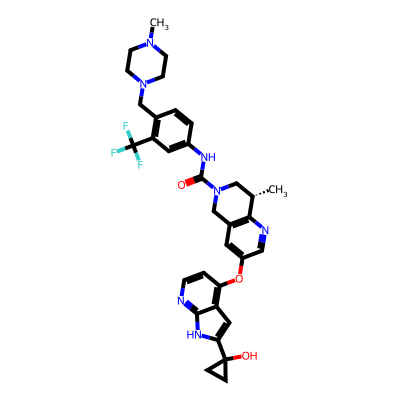 C[C@H]1CN(C(=O)Nc2ccc(CN3CCN(C)CC3)c(C(F)(F)F)c2)Cc2cc(Oc3ccnc4[nH]c(C5(O)CC5)cc34)cnc21